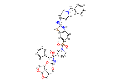 CC(C)CN(CCC(O)(Cc1ccccc1)NC(=O)OC1COC2OCCC12)S(=O)(=O)c1ccc2nc(NC3CCN(Cc4ccccc4)CC3)sc2c1